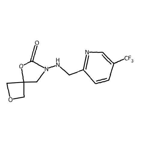 O=C1OC2(COC2)CN1NCc1ccc(C(F)(F)F)cn1